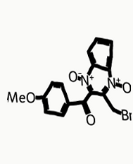 COc1ccc(C(=O)c2c(CBr)[n+]([O-])c3ccccc3[n+]2[O-])cc1